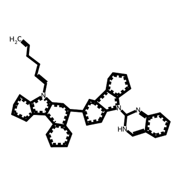 C=CCC/C=C/n1c2ccccc2c2c3ccccc3c(-c3ccc4c(c3)c3ccccc3n4C3N=c4ccccc4=CN3)cc21